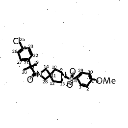 COc1ccc(S(=O)(=O)N2CCC3(CC2)CN(C(=O)C(C)(C)c2ccc(Cl)cc2)C3)cc1